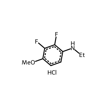 CCNc1ccc(OC)c(F)c1F.Cl